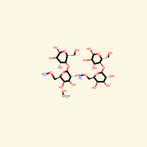 NOC[C@H]1O[C@@H](O[C@H]2[C@H](O)[C@@H](O)[C@@H](O)O[C@@H]2CO)[C@H](O)[C@@H](O)[C@H]1O.NOC[C@H]1O[C@@H](O[C@H]2[C@H](O)[C@@H](O)[C@@H](O)O[C@@H]2CO)[C@H](O)[C@@H](O)[C@H]1O.O=C(O)O